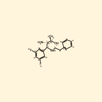 C[C@@H](O)[C@@H](N)C(NCCc1ccccc1)c1cc(F)cc(F)c1